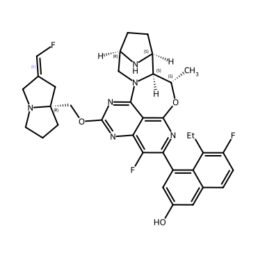 CCc1c(F)ccc2cc(O)cc(-c3nc4c5c(nc(OC[C@]67CCCN6C/C(=C/F)C7)nc5c3F)N3C[C@H]5CC[C@H](N5)[C@H]3[C@H](C)O4)c12